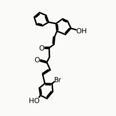 O=C(C=Cc1cc(O)ccc1Br)CC(=O)C=Cc1cc(O)ccc1-c1ccccc1